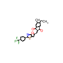 CCc1cc2c(cc1C)C(=O)/C(=C\c1cc3sc(-c4ccc(C(F)(F)F)cc4)nc3o1)C2=O